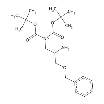 CC(C)(C)OC(=O)[N+](CC(N)COCc1ccccc1)C(=O)OC(C)(C)C